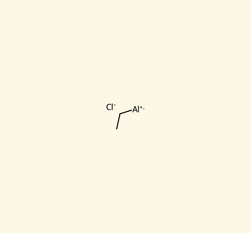 C[CH2][Al+].[Cl-]